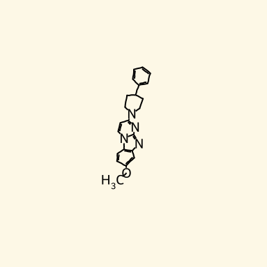 COc1ccc2c(c1)nc1nc(N3CCC(c4ccccc4)CC3)ccn12